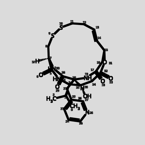 CC(C)[C@H]1NC(=O)[C@H]2CSSCC/C=C/C(CC(=O)N[C@H](Cc3cccnc3)C(=O)N2)OC(=O)C[C@@H]1O